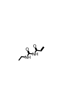 C=CC(=O)NC(=O)NCC